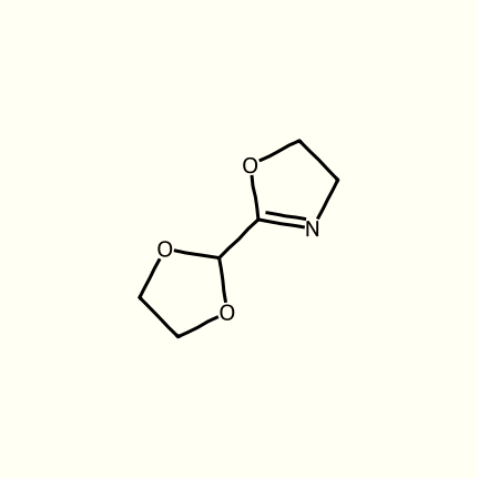 C1COC(C2OCCO2)=N1